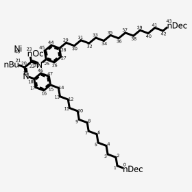 CCCCCCCCCCCCCCCCCCCCCCCCc1ccc(N=C(CCCC)C(CCCCCCCC)=Nc2ccc(CCCCCCCCCCCCCCCCCCCCCCCC)cc2)cc1.[Ni]